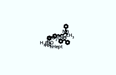 CCCCCCCNC(=O)N(C)c1cccc(-c2ccc(C[C@](CCc3nc(-c4ccccc4)oc3C)(Nc3ccccc3C(=O)c3ccccc3)C(=O)O)cc2)c1